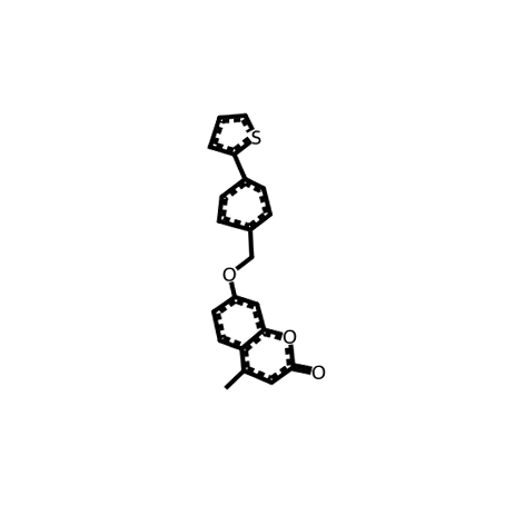 Cc1cc(=O)oc2cc(OCc3ccc(-c4cccs4)cc3)ccc12